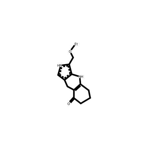 CCOCc1[nH]cc2c1NC1=C(C2)C(=O)CCC1